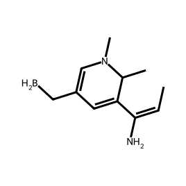 BCC1=CN(C)C(C)C(/C(N)=C\C)=C1